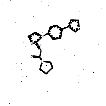 O=C(/N=c1\sccn1-c1ccc(-c2ccsc2)cc1)N1CCCC1